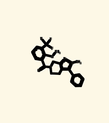 COc1c(C(=O)N2CCc3c(nn(C)c3-c3ccccc3)C2)cccc1C(F)(F)F